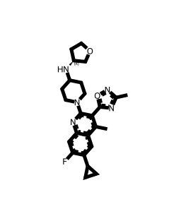 Cc1noc(-c2c(N3CCC(N[C@@H]4CCOC4)CC3)nc3cc(F)c(C4CC4)cc3c2C)n1